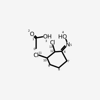 CC(=O)O.O/N=C1/CCCC(Cl)C1Cl